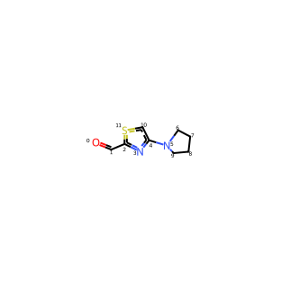 O=Cc1nc(N2CCCC2)cs1